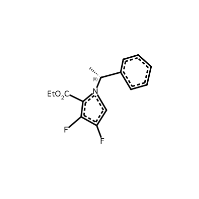 CCOC(=O)c1c(F)c(F)cn1[C@H](C)c1ccccc1